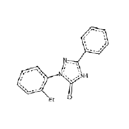 CCc1ccccc1-n1nc(-c2ccccc2)[nH]c1=O